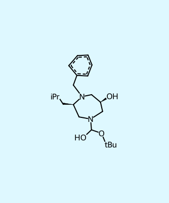 CC(C)C[C@@H]1CN(C(O)OC(C)(C)C)C[C@H](O)CN1Cc1ccccc1